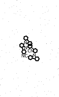 N#Cc1ccc2c3ccccc3n(-c3cccc(-c4cccc(-n5c6ccccc6c6cccc(-n7c8ccccc8c8ccccc87)c65)c4C#N)c3)c2c1